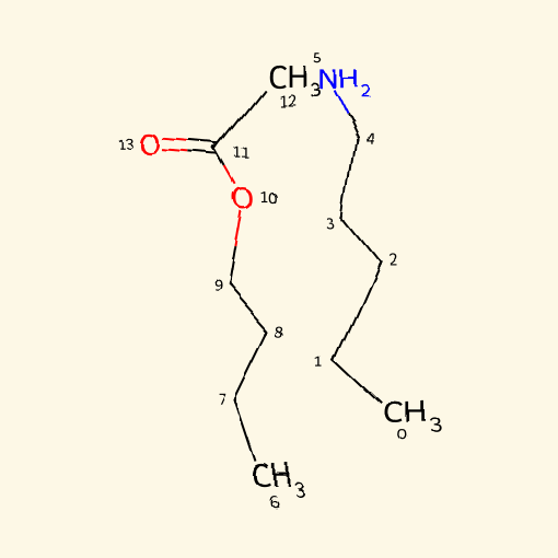 CCCCCN.CCCCOC(C)=O